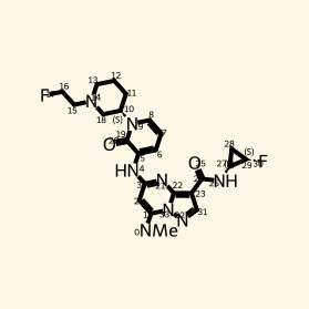 CNc1cc(Nc2cccn([C@H]3CCCN(CCF)C3)c2=O)nc2c(C(=O)N[C@@H]3C[C@@H]3F)cnn12